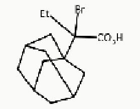 CCC(Br)(C(=O)O)C12CC3CC(CC(C3)C1)C2